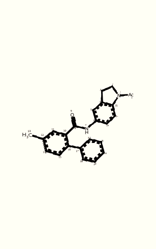 CC(=O)N1CCc2cc(NC(=O)c3cc(C)ccc3-c3ccccc3)ccc21